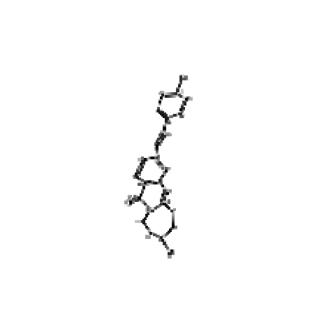 CCC1CCc2nc3cc(C#Cc4ccc(F)cc4)ccc3c(=O)n2CC1